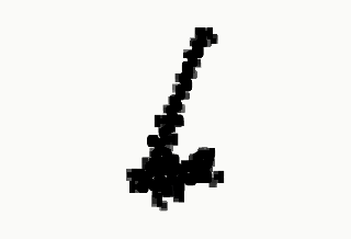 CCC1CC(C(=O)NCCNC(=O)CCOCCOCCOCCOCCN)C[C@@H](O[C@@H]2OC(CO)[C@H](O)C(O[C@@H](CC3CCCCC3)C(=O)O)C2NC(C)=O)C1O[C@@H]1OC(C)[C@@H](O)C(O)C1O